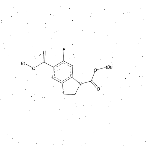 C=C(OCC)c1cc2c(cc1F)N(C(=O)OC(C)(C)C)CC2